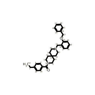 CCc1ccc(C(=O)N2CCC3(CCN(Cc4ccccc4OCc4ccccc4)CC3)CC2)cc1